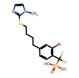 Cn1ccnc1SCCCCc1ccc(C(F)(F)P(=O)(O)O)c(Br)c1